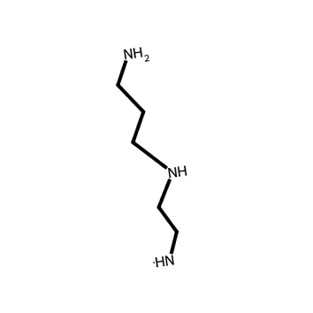 [NH]CCNCCCN